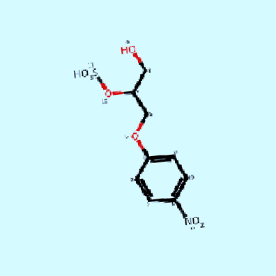 O=[N+]([O-])c1ccc(OCC(CO)OS(=O)(=O)O)cc1